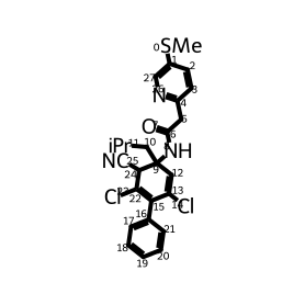 CSc1ccc(CC(=O)NC2(CC(C)C)C=C(Cl)C(c3ccccc3)=C(Cl)C2C#N)nc1